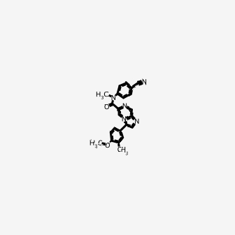 COc1ccc(-c2cnc3cnc(C(=O)N(C)c4ccc(C#N)cc4)cn23)cc1C